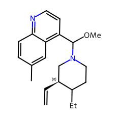 C=C[C@H]1CN(C(OC)c2ccnc3ccc(C)cc23)CCC1CC